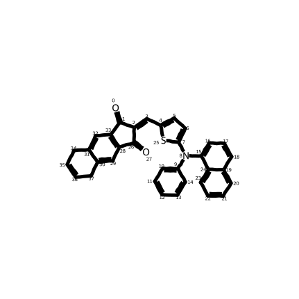 O=C1C(=Cc2ccc(N(c3ccccc3)c3cccc4ccccc34)s2)C(=O)c2cc3c(cc21)CC=CC3